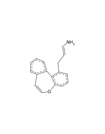 NC=CCc1cccc2c1-c1ccccc1C=CO2